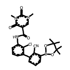 Cn1cc(C(=O)Nc2cccc(-c3cccc(B4OC(C)(C)C(C)(C)O4)c3C#N)c2Cl)c(=O)n(C)c1=O